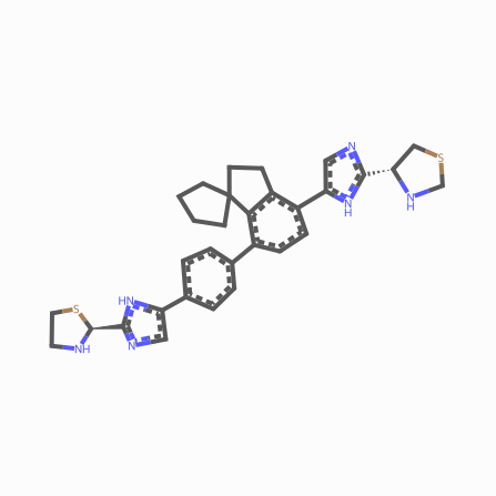 c1cc(-c2ccc(-c3cnc([C@@H]4CSCN4)[nH]3)c3c2C2(CCCC2)CC3)ccc1-c1cnc([C@H]2NCCS2)[nH]1